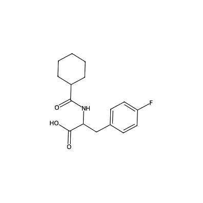 O=C(NC(Cc1ccc(F)cc1)C(=O)O)C1CCCCC1